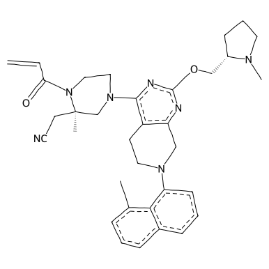 C=CC(=O)N1CCN(c2nc(OC[C@@H]3CCCN3C)nc3c2CCN(c2cccc4cccc(C)c24)C3)C[C@@]1(C)CC#N